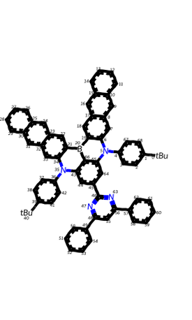 CC(C)(C)c1ccc(N2c3cc4cc5ccccc5cc4cc3B3c4cc5cc6ccccc6cc5cc4N(c4ccc(C(C)(C)C)cc4)c4cc(-c5nc(-c6ccccc6)cc(-c6ccccc6)n5)cc2c43)cc1